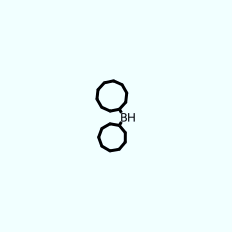 B(C1CCCCCCCCC1)C1CCCCCCCC1